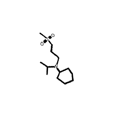 CC(C)N(CCCS(C)(=O)=O)C1CCCCC1